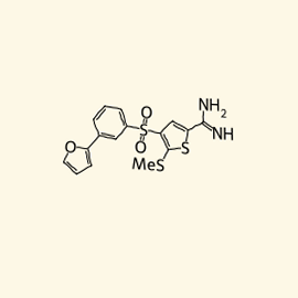 CSc1sc(C(=N)N)cc1S(=O)(=O)c1cccc(-c2ccco2)c1